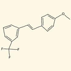 COc1ccc(/C=C/c2cccc(C(F)(F)F)c2)cc1